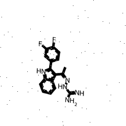 C/C(=N/NC(=N)N)c1c(-c2ccc(F)c(F)c2)[nH]c2ccccc12